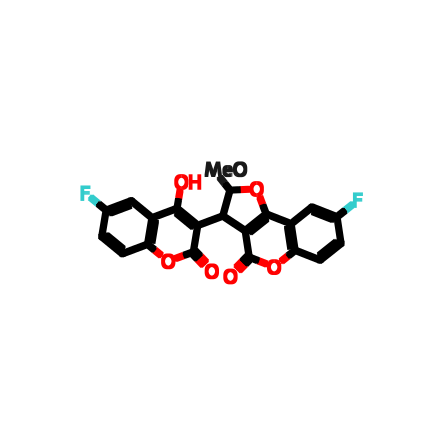 COC1Oc2c(c(=O)oc3ccc(F)cc23)C1c1c(O)c2cc(F)ccc2oc1=O